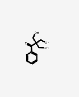 O=C(c1ccccc1)C(CO)(CO)CO